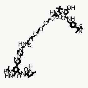 Cc1cc(C)c(CNC(=O)c2cc(-c3ccc(N4CCN(CCNC(=O)COCCOCCOCCOCCOCC(=O)NC(C(=O)N5C[C@H](O)C[C@H]5C(=O)NCc5ccc(-c6scnc6C)cc5)C(C)(C)C)CC4)nc3)cc(NC(C)C)c2C=N)c(=O)[nH]1